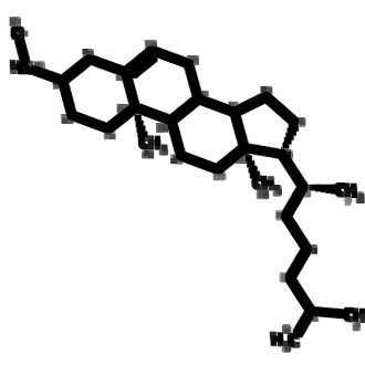 CC(C)CCC[C@@H](C)[C@H]1CCC2C3CC=C4CC(N[O])CC[C@]4(C)C3CC[C@@]21C